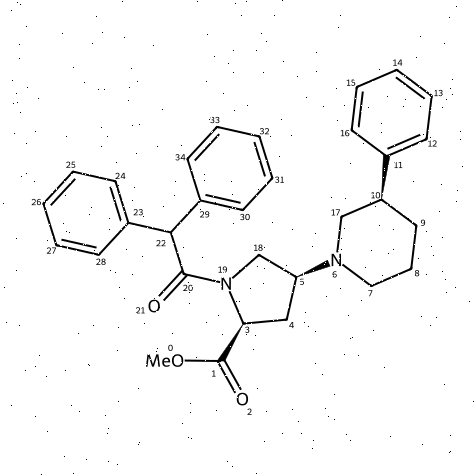 COC(=O)[C@@H]1C[C@H](N2CCC[C@H](c3ccccc3)C2)CN1C(=O)C(c1ccccc1)c1ccccc1